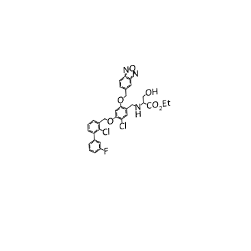 CCOC(=O)C(CO)NCc1cc(Cl)c(OCc2cccc(-c3cccc(F)c3)c2Cl)cc1OCc1ccc2nonc2c1